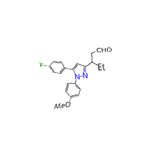 CCC(CC=O)c1cc(-c2ccc(F)cc2)n(-c2ccc(OC)cc2)n1